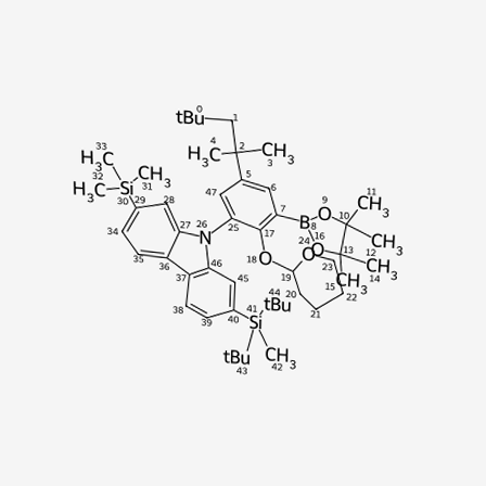 CC(C)(C)CC(C)(C)c1cc(B2OC(C)(C)C(C)(C)O2)c(OC2CCCCO2)c(-n2c3cc([Si](C)(C)C)ccc3c3ccc([Si](C)(C(C)(C)C)C(C)(C)C)cc32)c1